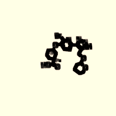 C[C@]1(C(=O)O)CCC[C@H](Oc2ccc(-c3nn[nH]c3COC3CCCCO3)nc2Br)C1